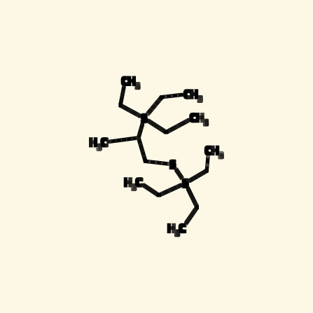 CCS(CC)(CC)SCC(C)S(CC)(CC)CC